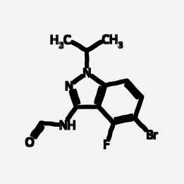 CC(C)n1nc(NC=O)c2c(F)c(Br)ccc21